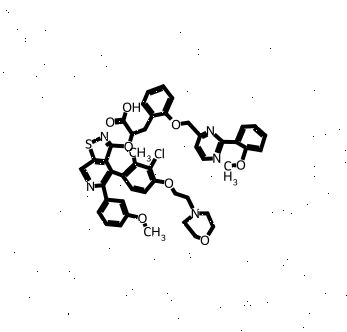 COc1cccc(-c2ncc3snc(OC(Cc4ccccc4OCc4ccnc(-c5ccccc5OC)n4)C(=O)O)c3c2-c2ccc(OCCN3CCOCC3)c(Cl)c2C)c1